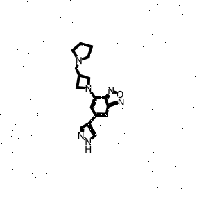 c1n[nH]cc1-c1cc(N2CC(CN3CCCC3)C2)c2nonc2c1